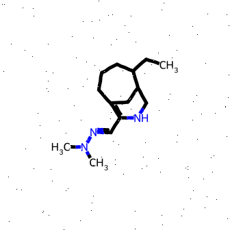 CCC1CCCC2=C(C=NN(C)C)NCC1C2